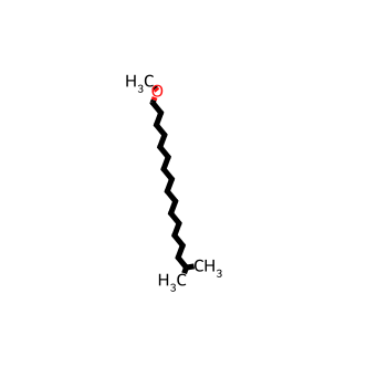 COCCCCCCCCCCCCCCCC(C)C